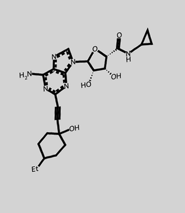 CCC1CCC(O)(C#Cc2nc(N)c3ncn(C4O[C@H](C(=O)NC5CC5)[C@H](O)[C@@H]4O)c3n2)CC1